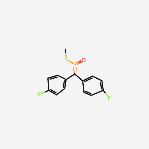 CS[PH](=O)C(c1ccc(F)cc1)c1ccc(F)cc1